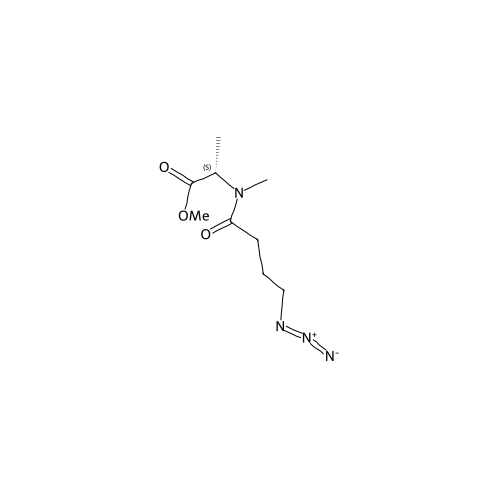 COC(=O)[C@H](C)N(C)C(=O)CCCN=[N+]=[N-]